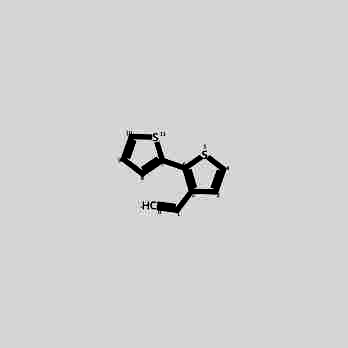 [CH]=Cc1ccsc1-c1cccs1